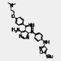 CN(C)CCOc1ccc(C(=N)c2c(N)ncnc2Nc2ccc(Nc3cc(C(C)(C)C)on3)cc2)cc1